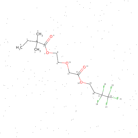 CCC(C)(C)C(=O)OCCOCC(=O)OCCC(F)(F)C(F)(F)F